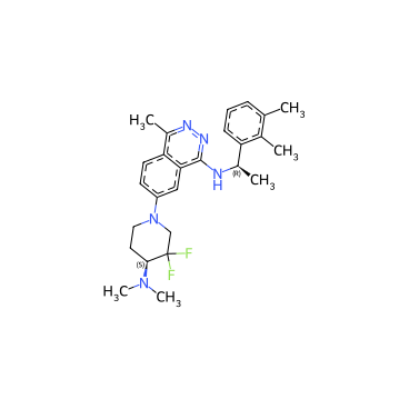 Cc1cccc([C@@H](C)Nc2nnc(C)c3ccc(N4CC[C@H](N(C)C)C(F)(F)C4)cc23)c1C